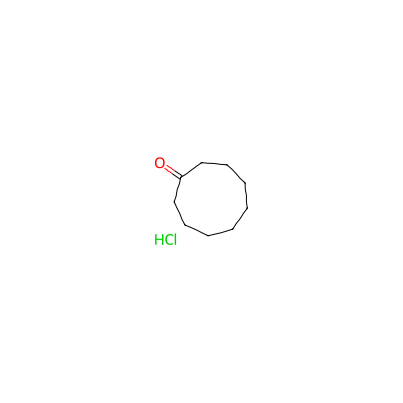 Cl.O=C1CCCCCCCC1